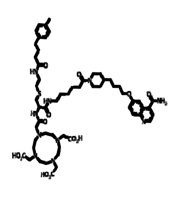 Cc1ccc(CCCC(=O)NCCSCC(NC(=O)CN2CCN(CC(=O)O)CCN(CC(=O)O)CCN(CC(=O)O)CC2)C(=O)NCCCCCC(=O)N2CCC(CCCCOc3ccc4nccc(C(N)=O)c4c3)CC2)cc1